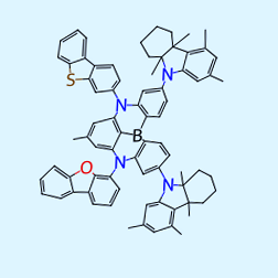 Cc1cc2c3c(c1)N(c1cccc4c1oc1ccccc14)c1cc(N4c5cc(C)cc(C)c5C5(C)CCCCC45C)ccc1B3c1ccc(N3c4cc(C)cc(C)c4C4(C)CCCCC34C)cc1N2c1ccc2c(c1)sc1ccccc12